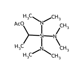 CC(=O)OC(C)[Si](N(C)C)(N(C)C)N(C)C